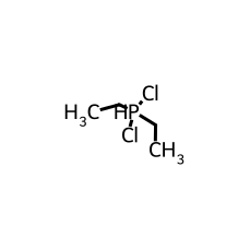 CC[PH](Cl)(Cl)CC